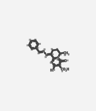 CCc1nc2n(c(=O)c1C(=O)O)C(C)CCC2=NN=Cc1ccccc1